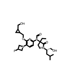 CCC(CC)(C(=O)N[C@H](CO)CC(C)C)N(C=O)c1ccc(N2CC(F)C2)c(OCC2CC2CO)n1